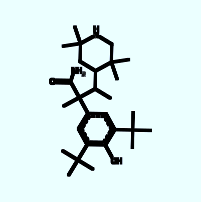 CC(C1CC(C)(C)NCC1(C)C)C(C)(C(N)=O)c1cc(C(C)(C)C)c(O)c(C(C)(C)C)c1